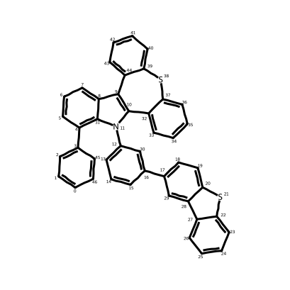 c1ccc(-c2cccc3c4c(n(-c5cccc(-c6ccc7sc8ccccc8c7c6)c5)c23)-c2ccccc2Sc2ccccc2-4)cc1